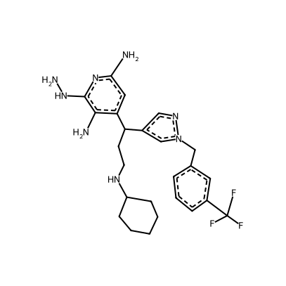 NNc1nc(N)cc(C(CCNC2CCCCC2)c2cnn(Cc3cccc(C(F)(F)F)c3)c2)c1N